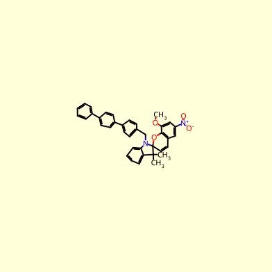 COc1cc([N+](=O)[O-])cc2c1OC1(C=C2)N(Cc2ccc(-c3ccc(-c4ccccc4)cc3)cc2)c2ccccc2C1(C)C